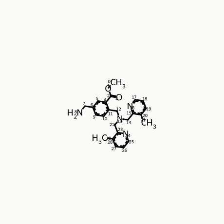 COC(=O)c1cc(CN)ccc1CN(Cc1ncccc1C)Cc1ncccc1C